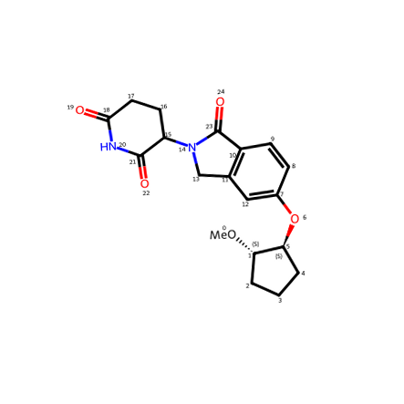 CO[C@H]1CCC[C@@H]1Oc1ccc2c(c1)CN(C1CCC(=O)NC1=O)C2=O